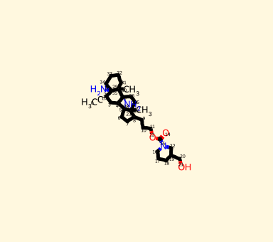 CC[C@H]1CC2C3CCC(CCCOC(=O)N4CCCC(CO)C4)C3(C)CC[C@]2(N)C2(C)CCCCC12N